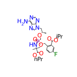 CCCOC(=O)C(C)(C)N[P@@](=O)(CO[C@H](C)Cn1cnc2c(N)ncnc21)OCc1ccc(F)cc1C(=O)OC(C)C